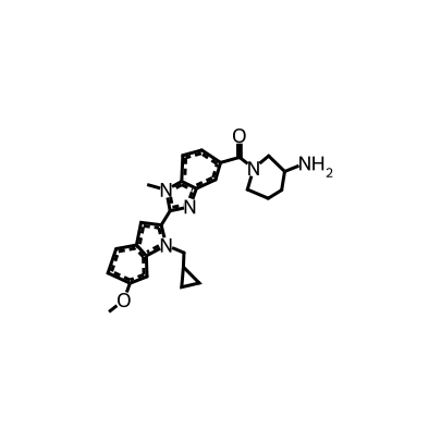 COc1ccc2cc(-c3nc4cc(C(=O)N5CCCC(N)C5)ccc4n3C)n(CC3CC3)c2c1